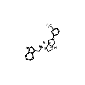 FC(F)(F)c1cccc(N2C[C@H]3CC[C@H](NCc4c[nH]c5ccccc45)[C@H]3C2)n1